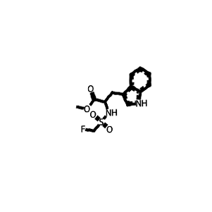 COC(=O)C(Cc1c[nH]c2ccccc12)NS(=O)(=O)CF